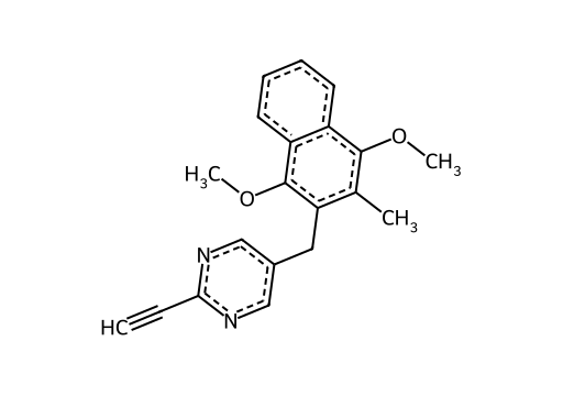 C#Cc1ncc(Cc2c(C)c(OC)c3ccccc3c2OC)cn1